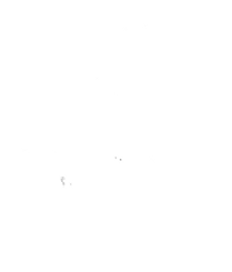 CCOC(=O)N1CNC(=O)c2cc(CC)sc21